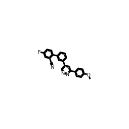 COc1ccc(-c2cc(-c3cccc(-c4ccc(F)cc4C#N)c3)cnn2)cc1